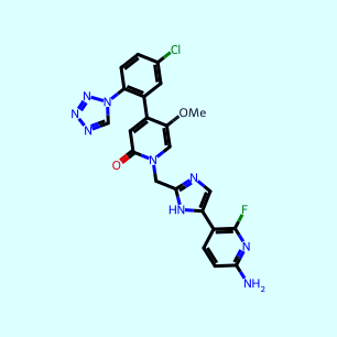 COc1cn(Cc2ncc(-c3ccc(N)nc3F)[nH]2)c(=O)cc1-c1cc(Cl)ccc1-n1cnnn1